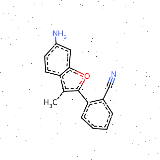 Cc1c(-c2ccccc2C#N)oc2cc(N)ccc12